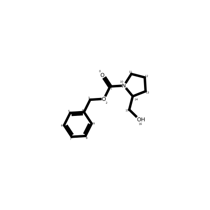 O=C(OCc1ccccc1)N1CCCC1CO